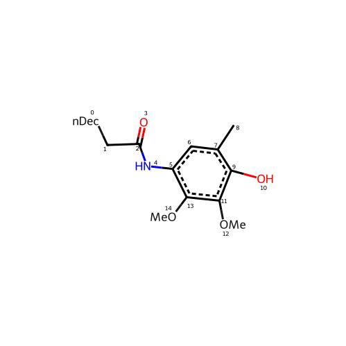 CCCCCCCCCCCC(=O)Nc1cc(C)c(O)c(OC)c1OC